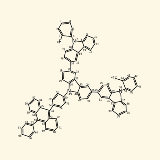 Fc1ccccc1-n1c2ccccc2c2cc(-c3ccc4c(c3)c3cc(-c5ccc6c(c5)c5ccccc5n6-c5ccccc5F)ccc3n4-c3ccc(-c4c5ccccc5c(-c5ccccc5)c5ccccc45)cc3)ccc21